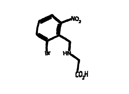 O=C(O)CNCc1c(Br)cccc1[N+](=O)[O-]